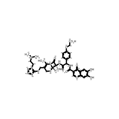 CO[C@@]1(NC(=O)C(NC(=O)c2coc3cc(O)c(O)cc3c2=O)c2ccc(OCC(=O)O)cc2)C(=O)N2C(C(=O)O)=C(CSc3nnnn3CCN(C)C)CS[C@H]21